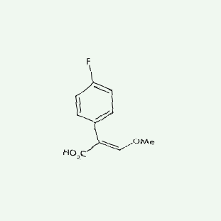 CO/C=C(/C(=O)O)c1ccc(F)cc1